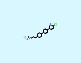 CCCCC1CCC(c2ccc(-c3ccc(Cl)nc3)cc2)CC1